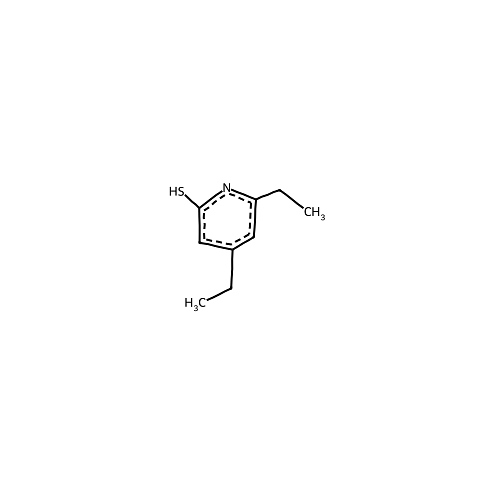 CCc1cc(S)nc(CC)c1